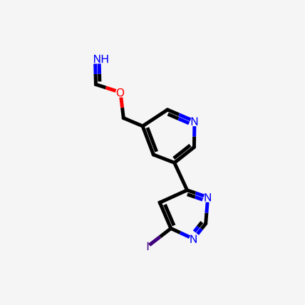 N=COCc1cncc(-c2cc(I)ncn2)c1